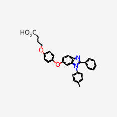 Cc1ccc(-n2c(-c3ccccc3)nc3ccc(Oc4ccc(OCCCC(=O)O)cc4)cc32)cc1